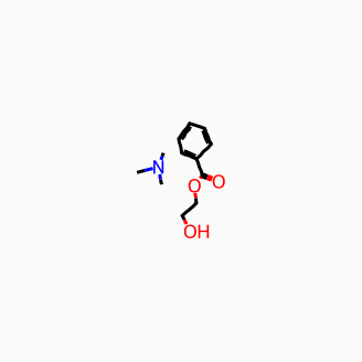 CN(C)C.O=C(OCCO)c1ccccc1